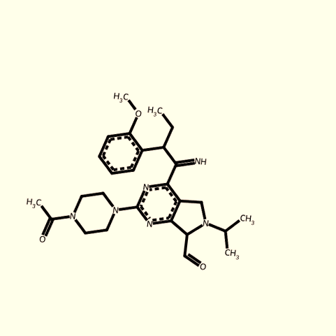 CCC(C(=N)c1nc(N2CCN(C(C)=O)CC2)nc2c1CN(C(C)C)C2C=O)c1ccccc1OC